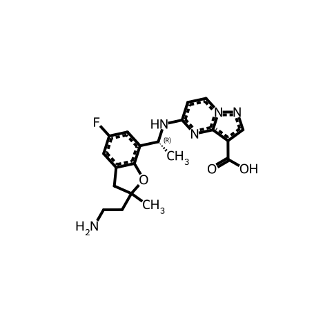 C[C@@H](Nc1ccn2ncc(C(=O)O)c2n1)c1cc(F)cc2c1OC(C)(CCN)C2